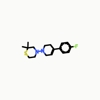 CC1(C)CN(N2CC=C(c3ccc(F)cc3)CC2)CCS1